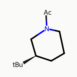 CC(=O)N1CCC[C@@H](C(C)(C)C)C1